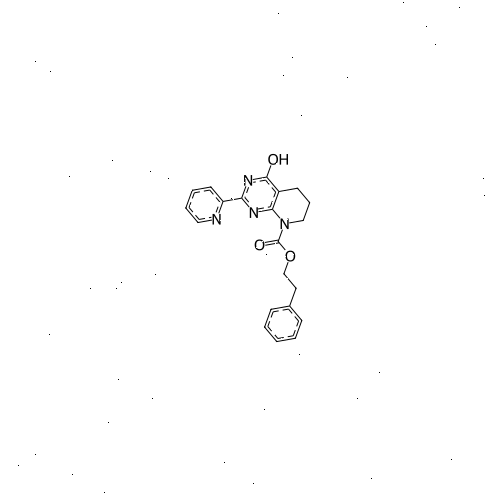 O=C(OCCc1ccccc1)N1CCCc2c(O)nc(-c3ccccn3)nc21